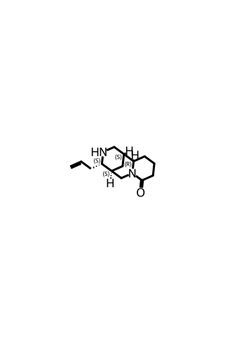 C=CC[C@@H]1NC[C@@H]2C[C@H]1CN1C(=O)CCC[C@H]21